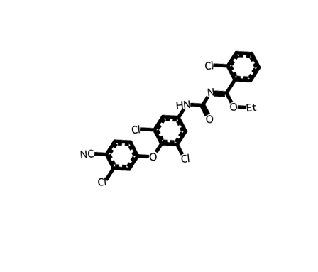 CCO/C(=N\C(=O)Nc1cc(Cl)c(Oc2ccc(C#N)c(Cl)c2)c(Cl)c1)c1ccccc1Cl